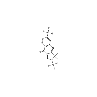 CC1(C)c2nc3cc(C(F)(F)F)ccc3c(=O)n2CC1C(F)(F)F